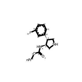 CCCOC(=O)N[C@@H]1CNC[C@H]1c1cccc(F)c1